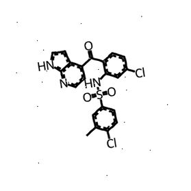 Cc1cc(S(=O)(=O)Nc2cc(Cl)ccc2C(=O)c2ccnc3[nH]ccc23)ccc1Cl